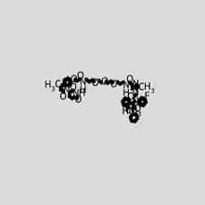 Cc1ccccc1C(C(=O)NC1CCCCC1)N(C(=O)Cn1cc(C(=O)NCCCOCCOCCOCCCNC(=O)COc2ccc3c(C)cc(=O)n(C4CCC(=O)NC4=O)c3c2)nc1C)c1cccc(F)c1